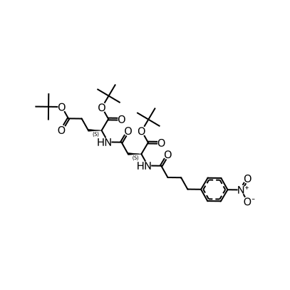 CC(C)(C)OC(=O)CC[C@H](NC(=O)C[C@H](NC(=O)CCCc1ccc([N+](=O)[O-])cc1)C(=O)OC(C)(C)C)C(=O)OC(C)(C)C